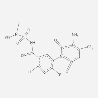 CCCN(C)S(=O)(=O)NC(=O)c1cc(-n2c(=O)cc(C(F)(F)F)n(N)c2=O)c(F)cc1Cl